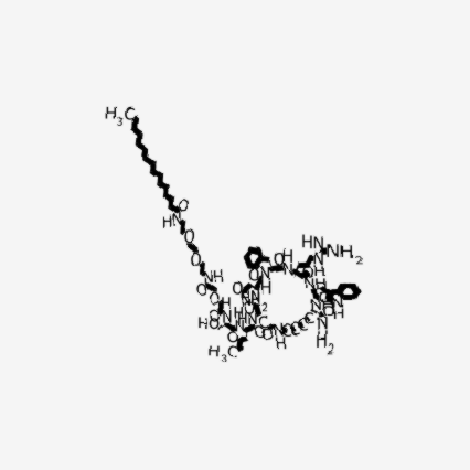 CCCCCCCCCCCCCCCC(=O)NCCOCCOCCNC(=O)COCC(=O)N[C@@H](CO)C(=O)N[C@@H](CCCC)C(=O)N[C@H]1CC(=O)NCCCC[C@@H](C(N)=O)NC(=O)[C@H](Cc2c[nH]c3ccccc23)NC(=O)[C@H](CCCNC(=N)N)NC(=O)[C@@H](Cc2ccccc2)NC(=O)[C@H](CC(N)=O)NC1=O